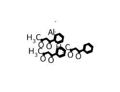 CC(=O)CC(=O)c1ccccc1.CC(=O)CC(=O)c1ccccc1.CC(=O)CC(=O)c1ccccc1.[Al]